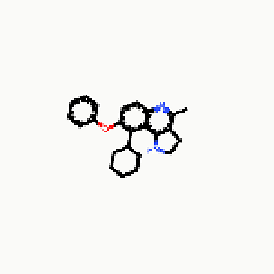 Cc1nc2ccc(Oc3ccccc3)c(C3CCCCC3)c2c2c1CCN2